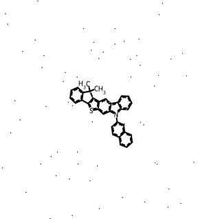 CC1(C)c2ccccc2-c2sc3cc4c(cc3c21)c1ccccc1n4-c1ccc2ccccc2c1